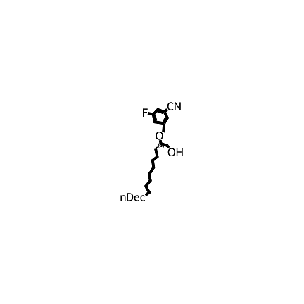 CCCCCCCCCCCCCCCCCC[C@@H](CO)OCc1cc(F)cc(C#N)c1